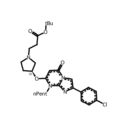 CCCCCn1c(O[C@H]2CCN(CCC(=O)OC(C)(C)C)C2)cc(=O)n2cc(-c3ccc(Cl)cc3)nc12